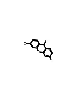 OC1c2ccc(Cl)cc2Oc2cc(Cl)ccc21